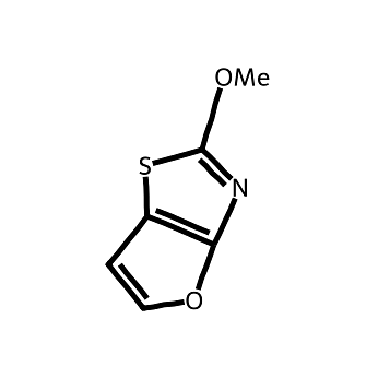 COc1nc2occc2s1